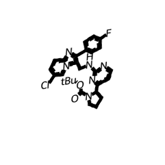 CC(C)(C)OC(=O)N1CCCC1c1ccnc(NCc2c(-c3ccc(F)cc3)nc3ccc(Cl)cn23)n1